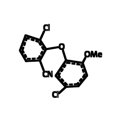 COc1ccc(Cl)cc1Oc1c(Cl)cccc1C#N